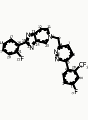 Fc1ccc(-c2ccc(Cn3ccc4nc(-c5ccccc5F)nc-4c3)nn2)c(C(F)(F)F)c1